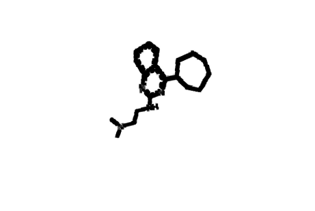 CN(C)CCNc1nc(C2CCCCCC2)c2ccccc2n1